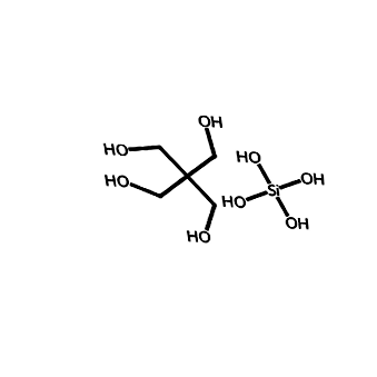 OCC(CO)(CO)CO.O[Si](O)(O)O